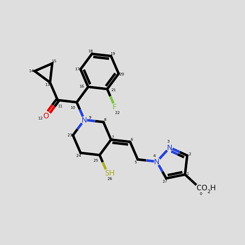 O=C(O)c1cnn(C/C=C2/CN(C(C(=O)C3CC3)c3ccccc3F)CCC2S)c1